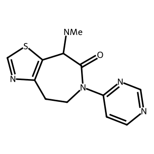 CNC1C(=O)N(c2ccncn2)CCc2ncsc21